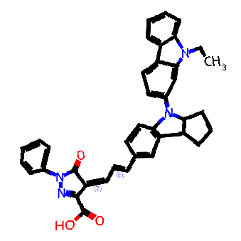 CCn1c2ccccc2c2ccc(N3c4ccc(/C=C/C=C5\C(=O)N(c6ccccc6)N=C5C(=O)O)cc4C4CCCC43)cc21